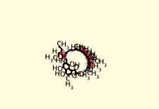 CCCC(CCC)O/N=C/c1c2c(O)c3c(O)c(C)c4c(c3c1O)C(=O)[C@@](C)(O/C=C/[C@H](OC)[C@@H](C)[C@@H](OC(C)=O)[C@H](C)[C@H](O)[C@H](C)[C@@H](O)[C@@H](C)/C=C/C=C(/C)C(=O)N2)O4